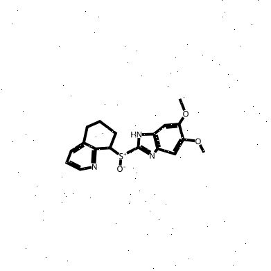 COc1cc2nc([S+]([O-])C3CCCc4cccnc43)[nH]c2cc1OC